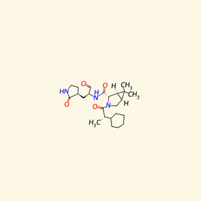 C[C@H](C(=O)N1C[C@H]2[C@@H]([C@H]1C(=O)N[C@H](C=O)C[C@@H]1CCNC1=O)C2(C)C)C1CCCCC1